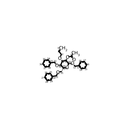 C=CCO[C@@H]1[C@@H](OC(C)=O)[C@@H](OCc2ccccc2)O[C@H](COCc2ccccc2)[C@H]1OCc1ccccc1